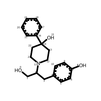 OCC(Cc1ccc(O)cc1)N1CCC(O)(c2ccccc2)CC1